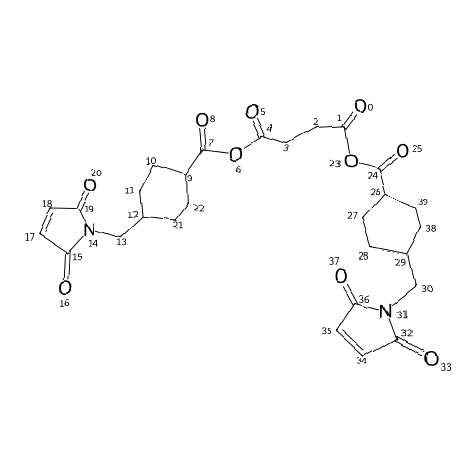 O=C(CCC(=O)OC(=O)C1CCC(CN2C(=O)C=CC2=O)CC1)OC(=O)C1CCC(CN2C(=O)C=CC2=O)CC1